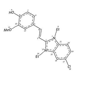 CCn1c(C=Cc2ccc(O)c(OC)c2)[n+](CC)c2cc(Cl)ccc21